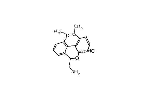 COc1cccc2c1-c1c(OC)cccc1C(CN)O2.Cl